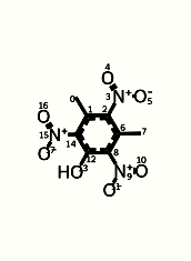 Cc1c([N+](=O)[O-])c(C)c([N+](=O)[O-])c(O)c1[N+](=O)[O-]